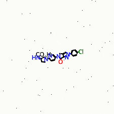 O=C(O)NC1CCN(c2ccc(N3Cc4cn(-c5ccc(Cl)cc5)nc4C3=O)cn2)C1